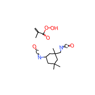 C=C(C)C(=O)OO.CC1(C)CC(N=C=O)CC(C)(CN=C=O)C1